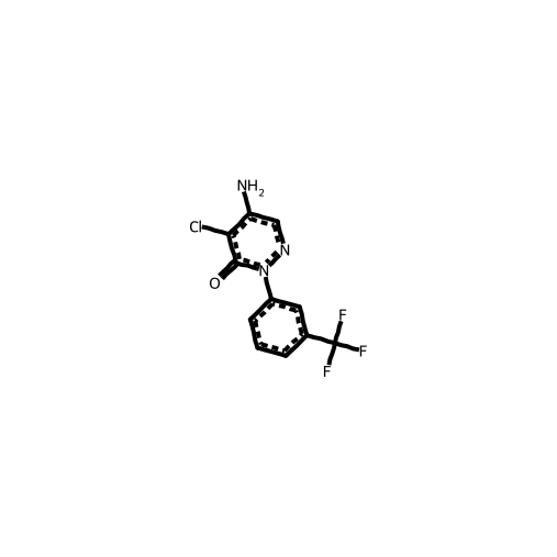 Nc1cnn(-c2cccc(C(F)(F)F)c2)c(=O)c1Cl